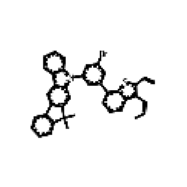 C=Cc1sc2c(-c3cc(Br)cc(-n4c5ccccc5c5cc6c(cc54)C(C)(C)c4ccccc4-6)c3)cccc2c1/C=C\C